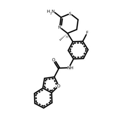 C[C@@]1(c2cc(NC(=O)c3cc4ccccc4o3)ccc2F)CCSC(N)=N1